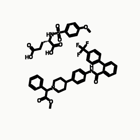 COC(=O)C(c1ccccc1)N1CCC(c2ccc(NC(=O)c3ccccc3-c3ccc(C(F)(F)F)cc3)cc2)CC1.COc1ccc(S(=O)(=O)N[C@@H](CCC(=O)O)C(=O)O)cc1